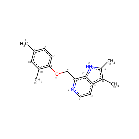 Cc1ccc(OCc2nccc3c(C)c(C)[nH]c23)c(C)c1